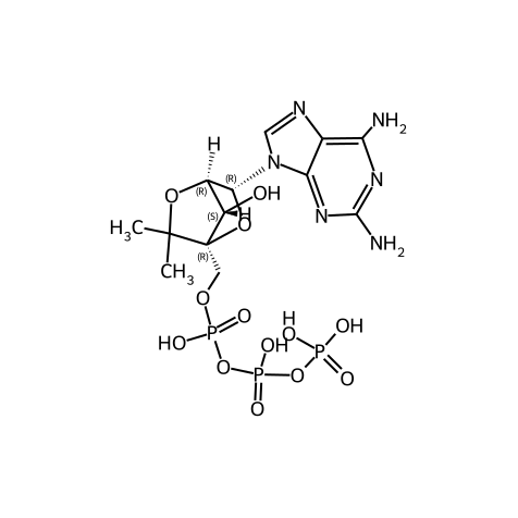 CC1(C)O[C@H]2[C@H](n3cnc4c(N)nc(N)nc43)O[C@]1(COP(=O)(O)OP(=O)(O)OP(=O)(O)O)[C@H]2O